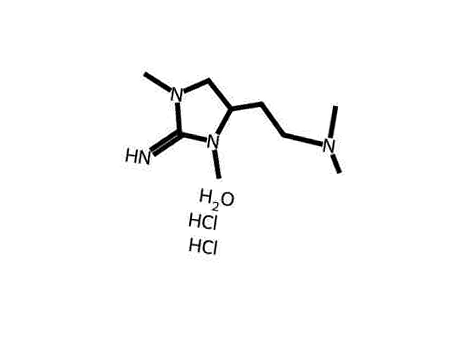 CN(C)CCC1CN(C)C(=N)N1C.Cl.Cl.O